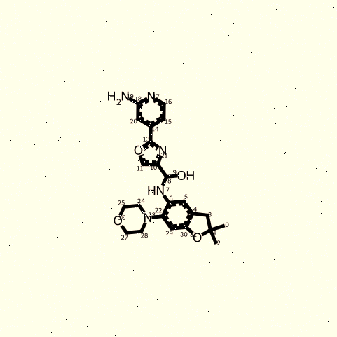 CC1(C)Cc2cc(NC(O)c3coc(-c4ccnc(N)c4)n3)c(N3CCOCC3)cc2O1